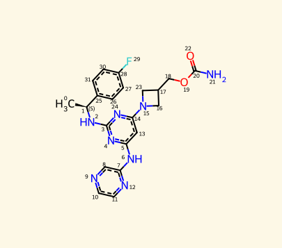 C[C@H](Nc1nc(Nc2cnccn2)cc(N2CC(COC(N)=O)C2)n1)c1ccc(F)cc1